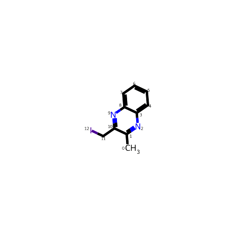 Cc1nc2ccccc2nc1CI